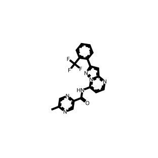 Cc1cnc(C(=O)Nc2ccnc3cc(-c4ccccc4C(F)(F)F)nn23)cn1